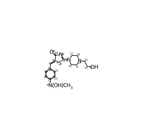 CN(O)c1ccc(/C=C2\SC(N3CCN(CCO)CC3)=NC2=O)cc1